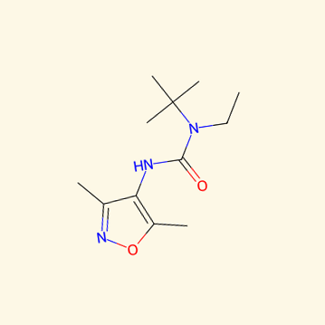 CCN(C(=O)Nc1c(C)noc1C)C(C)(C)C